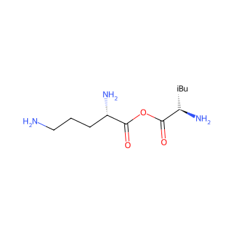 CC[C@@H](C)[C@@H](N)C(=O)OC(=O)[C@@H](N)CCCN